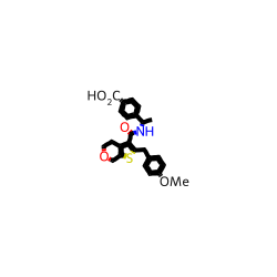 COc1ccc(Cc2sc3c(c2C(=O)NC(C)c2ccc(C(=O)O)cc2)CCOC3)cc1